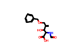 C=C(COCc1ccccc1)C(O)C(NC=O)C(=O)O